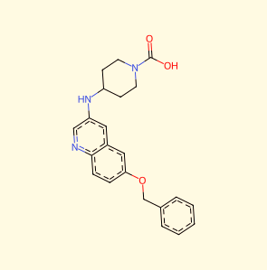 O=C(O)N1CCC(Nc2cnc3ccc(OCc4ccccc4)cc3c2)CC1